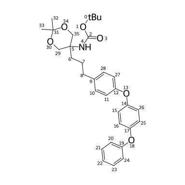 CC(C)(C)OC(=O)NC1(CCCc2ccc(Oc3ccc(Oc4ccccc4)cc3)cc2)COC(C)(C)OC1